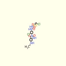 CCCNc1ccc2c(=O)n(-c3ccc(NC(=O)NS(=O)(=O)c4ccc(Cl)s4)cc3Cl)c(=O)[nH]c2c1